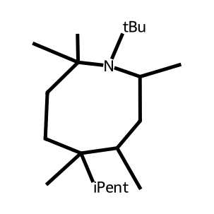 CCCC(C)C1(C)CCC(C)(C)N(C(C)(C)C)C(C)CC1C